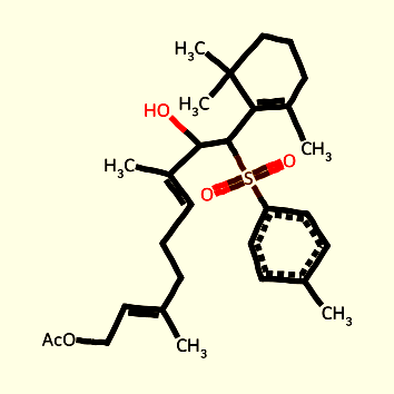 CC(=O)OCC=C(C)CCC=C(C)C(O)C(C1=C(C)CCCC1(C)C)S(=O)(=O)c1ccc(C)cc1